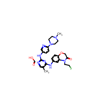 Cc1cnc(Nc2ccc(N3CCN(C)CC3)nc2)nc1Nc1ccc2c(c1)N(CCF)C(=O)CO2.O=CO